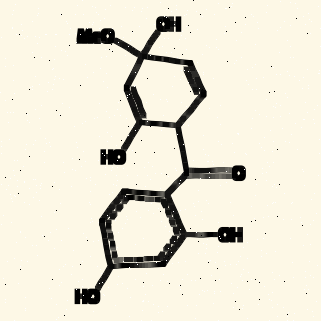 COC1(O)C=CC(C(=O)c2ccc(O)cc2O)C(O)=C1